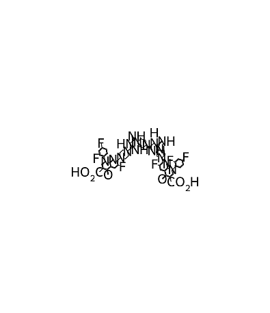 N=C(NC(=N)N1CCN(c2nc3c(cc2F)c(=O)c(C(=O)O)cn3-c2ccc(F)cc2F)CC1)N1CCN(C(=N)NC(=N)N2CCN(c3nc4c(cc3F)c(=O)c(C(=O)O)cn4-c3ccc(F)cc3F)CC2)CC1